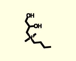 CCCC[N+](C)(C)CC(O)CO